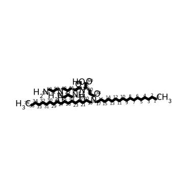 CCCCCCCCCCCCCCCCCCN(CCCCCCCCCCCCCCCCCC)C(=O)CC[C@H](NC(=O)[C@H](CCCNCCCN)NCCCN)C(=O)O